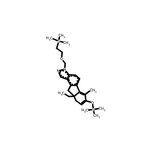 CCC12CC=C(O[Si](C)(C)C)C(C)=C1c1ccc3c(cnn3COCC[Si](C)(C)C)c1C2